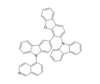 c1cc(-n2c3ccccc3c3cc(-c4c(-n5c6ccccc6c6ccccc65)ccc5c4oc4ccccc45)ccc32)c2ccncc2c1